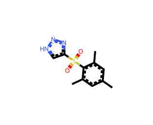 Cc1cc(C)c(S(=O)(=O)c2c[nH]nn2)c(C)c1